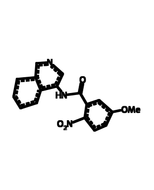 COc1ccc([N+](=O)[O-])c(C(=O)Nc2cncc3ccccc23)c1